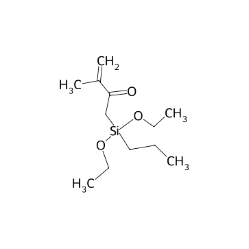 C=C(C)C(=O)C[Si](CCC)(OCC)OCC